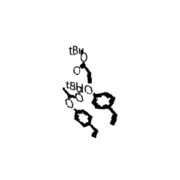 C=CC(=O)OC(C)(C)C.C=Cc1ccc(O)cc1.C=Cc1ccc(OC(C)OC(C)(C)C)cc1